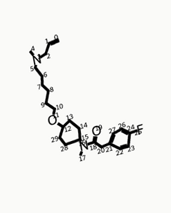 C=CCN(C)CCCCCCOC1CCC(N(C)C(=O)Cc2ccc(F)cc2)CC1